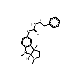 C[C@H](Cc1ccccc1)NC(=O)Oc1ccc2c(c1)[C@]1(C)CCN(C)[C@@H]1N2C